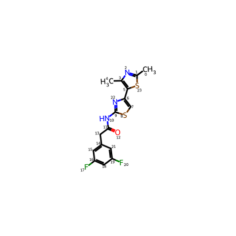 Cc1nc(C)c(-c2csc(NC(=O)Cc3cc(F)cc(F)c3)n2)s1